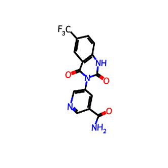 NC(=O)c1cncc(-n2c(=O)[nH]c3ccc(C(F)(F)F)cc3c2=O)c1